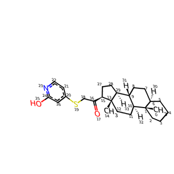 C[C@]12CCCC[C@@H]1CC[C@@H]1[C@@H]2CC[C@]2(C)[C@@H](C(=O)CSc3ccnc(O)c3)CC[C@@H]12